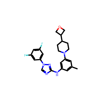 Cc1cc(Nc2ncn(-c3cc(F)cc(F)c3)n2)cc(N2CCC(C3COC3)CC2)c1